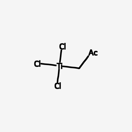 CC(=O)[CH2][Ti]([Cl])([Cl])[Cl]